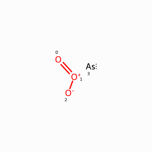 O=[O+][O-].[As]